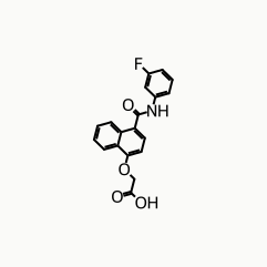 O=C(O)COc1ccc(C(=O)Nc2cccc(F)c2)c2ccccc12